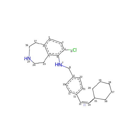 Clc1ccc2c(c1NCc1ccc(/C=C\C3CCCCC3)cc1)CCNCC2